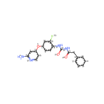 Nc1cc(Oc2ccc(NC(=O)NC(=O)Cc3ccccc3)c(F)c2)ccn1